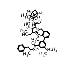 COc1c(CN2O[C@@H](CO)[C@H]([C@H](C)O)[C@H]2C(=O)NC2C[C@H]3C[C@@H]([C@@H]2C)C3(C)C)cccc1-c1cc(C(=O)N[C@H](C)Cc2ccccc2)cc(N(C)C)c1